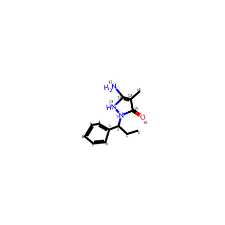 CCC(c1ccccc1)n1[nH]c(N)c(C)c1=O